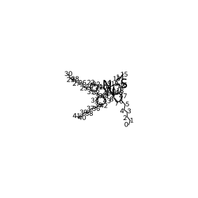 CCCCCCc1ccc(-n2c(-c3cc(C)sc3C)nc3c4ccc(CCCCCC)cc4c4cc(CCCCCC)ccc4c32)cc1